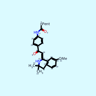 CCCCCC(=O)Nc1ccc(C(=O)C=C2NC(C)(C)Cc3ccc(OC)cc32)cc1